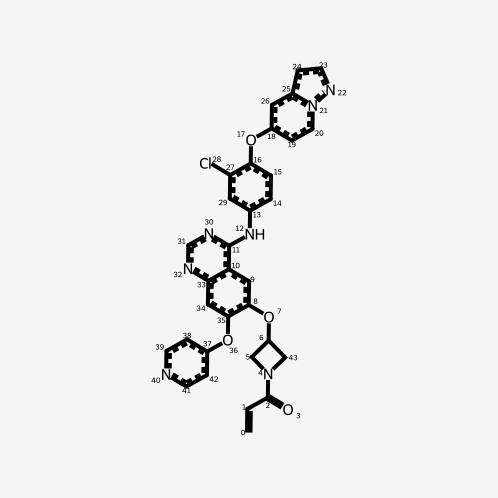 C=CC(=O)N1CC(Oc2cc3c(Nc4ccc(Oc5ccn6nccc6c5)c(Cl)c4)ncnc3cc2Oc2ccncc2)C1